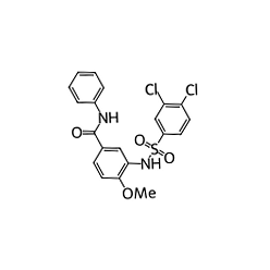 COc1ccc(C(=O)Nc2ccccc2)cc1NS(=O)(=O)c1ccc(Cl)c(Cl)c1